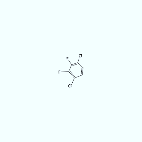 Fc1c(Cl)ccc(Cl)c1F